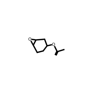 C=C(C)OC1CCC2OC2C1